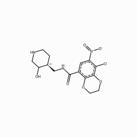 O=C(NC[C@@H]1CCNCC1O)c1cc([N+](=O)[O-])c(Cl)c2c1OCCO2